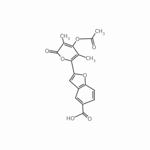 CC(=O)Oc1c(C)c(-c2cc3cc(C(=O)O)ccc3o2)oc(=O)c1C